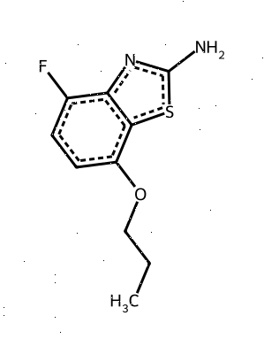 CCCOc1ccc(F)c2nc(N)sc12